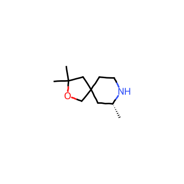 C[C@@H]1CC2(CCN1)COC(C)(C)C2